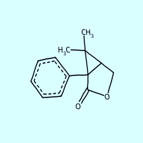 CC1(C)C2COC(=O)C21c1ccccc1